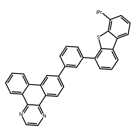 CC(C)c1cccc2c1sc1c(-c3cccc(-c4ccc5c(c4)c4ccccc4c4nccnc54)c3)cccc12